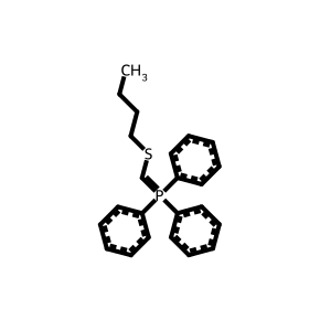 CCCCSC=P(c1ccccc1)(c1ccccc1)c1ccccc1